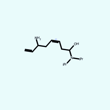 C=CC(N)C/C=C\CC(O)N(C(C)C)C(C)C